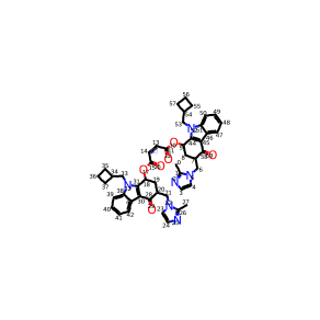 Cc1nccn1CC1CC(OC(=O)/C=C\C(=O)OC2CC(Cn3ccnc3C)C(=O)c3c2n(CC2CCC2)c2ccccc32)c2c(c3ccccc3n2CC2CCC2)C1=O